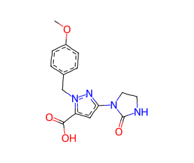 COc1ccc(Cn2nc(N3CCNC3=O)cc2C(=O)O)cc1